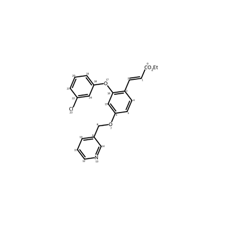 CCOC(=O)/C=C/c1ccc(OCc2cccnc2)cc1Oc1cccc(Cl)c1